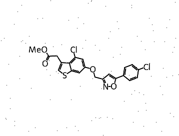 COC(=O)Cc1csc2cc(OCc3cc(-c4ccc(Cl)cc4)on3)cc(Cl)c12